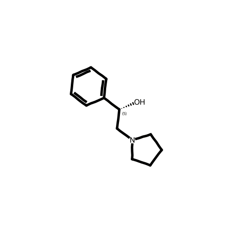 O[C@H](CN1CCCC1)c1ccccc1